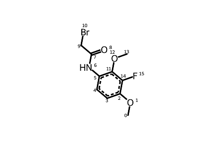 COc1ccc(NC(=O)CBr)c(OC)c1F